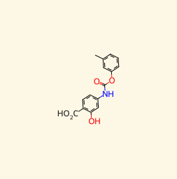 Cc1cccc(OC(=O)Nc2ccc(C(=O)O)c(O)c2)c1